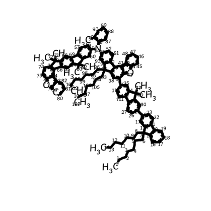 CCCCCCCC1(CCCCCCC)c2ccccc2-c2ccc(-c3ccc4c(c3)C(C)(C)c3cc(-c5cc6c(c7c5oc5ccccc57)-c5ccc(N(c7ccc8c(c7)C(C)(C)c7cc9c(cc7-8)C(C)(C)c7ccc8oc%10ccccc%10c8c7-9)c7ccccc7C)cc5C6(CCCCCCC)CCCCCCC)ccc3-4)cc21